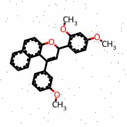 COc1cccc(C2=CC(c3ccc(OC)cc3OC)Oc3ccc4ccccc4c32)c1